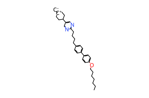 [CH2-][C+]1CCC(c2cnc(CCCCc3ccc(-c4ccc(OCCCCCCC)cc4)cc3)nc2)CC1